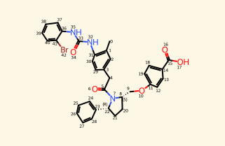 Cc1cc(CC(=O)N2[C@H](COc3ccc(C(=O)O)cc3)CC[C@@H]2c2ccccc2)ccc1NC(=O)Nc1ccccc1Br